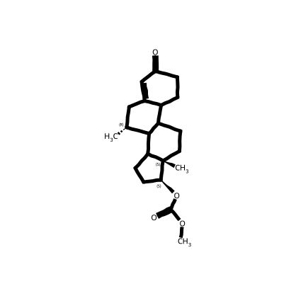 COC(=O)O[C@H]1CCC2C3C(CC[C@@]21C)C1CCC(=O)C=C1C[C@H]3C